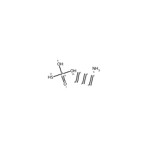 C=C.C=C.C=C.N.O=P(O)(O)S